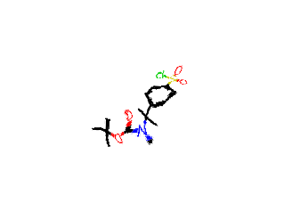 CN(C(=O)OC(C)(C)C)C(C)(C)c1ccc(S(=O)(=O)Cl)cc1